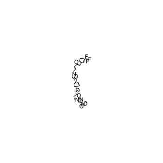 O=[N+]([O-])c1cn2c(n1)OC(COc1ccc(N3CCN(CC=Cc4cc5cc(C(F)(F)F)ccc5o4)CC3)cc1)CC2